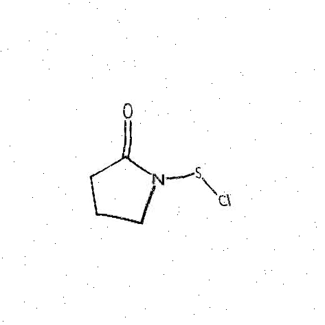 O=C1CCCN1SCl